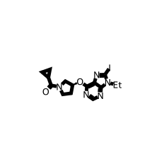 CCn1c(I)nc2c(O[C@H]3CCN(C(=O)C4CC4)C3)ncnc21